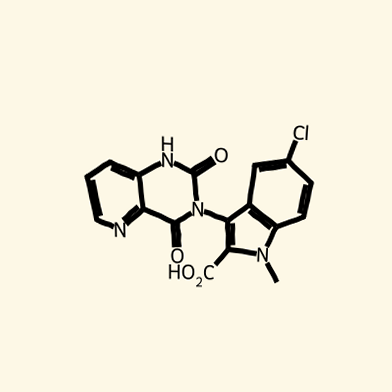 Cn1c(C(=O)O)c(-n2c(=O)[nH]c3cccnc3c2=O)c2cc(Cl)ccc21